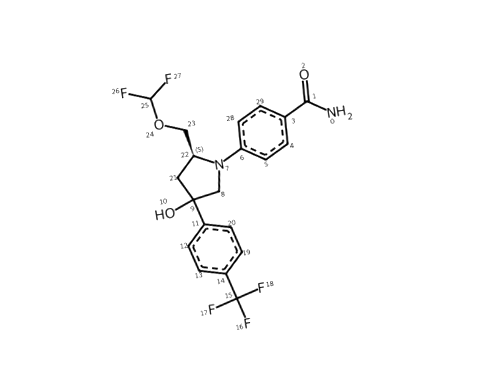 NC(=O)c1ccc(N2CC(O)(c3ccc(C(F)(F)F)cc3)C[C@H]2COC(F)F)cc1